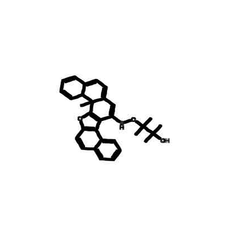 CC12C(=CC=C3C=CC=CC31)C=C(BOC(C)(C)C(C)(C)O)c1c2oc2ccc3ccccc3c12